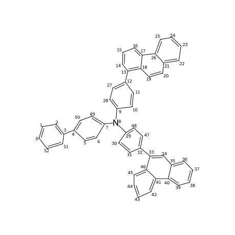 c1ccc(-c2ccc(N(c3ccc(-c4cccc5c4ccc4ccccc45)cc3)c3ccc(-c4cc5ccccc5c5ccccc45)cc3)cc2)cc1